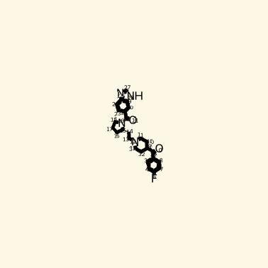 O=C(c1ccc(F)cc1)C1CCN(CC[C@@H]2CCCN2C(=O)c2ccc3nc[nH]c3c2)CC1